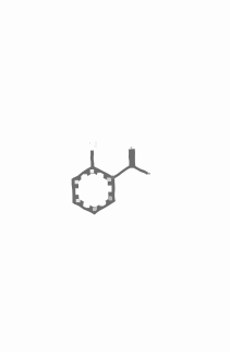 CCC(=O)c1ccc[c]c1N